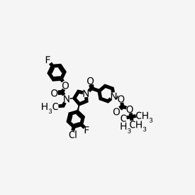 CCN(C(=O)Oc1ccc(F)cc1)[C@@H]1CN(C(=O)C2CCN(OC(=O)OC(C)(C)C)CC2)C[C@H]1c1ccc(Cl)c(F)c1